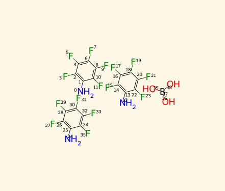 Nc1c(F)c(F)c(F)c(F)c1F.Nc1c(F)c(F)c(F)c(F)c1F.Nc1c(F)c(F)c(F)c(F)c1F.OB(O)O